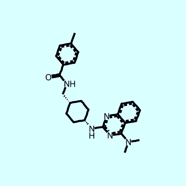 Cc1ccc(C(=O)NC[C@H]2CC[C@@H](Nc3nc(N(C)C)c4ccccc4n3)CC2)cc1